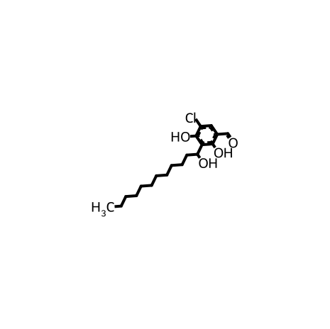 CCCCCCCCCCCC(O)c1c(O)c(Cl)cc(C=O)c1O